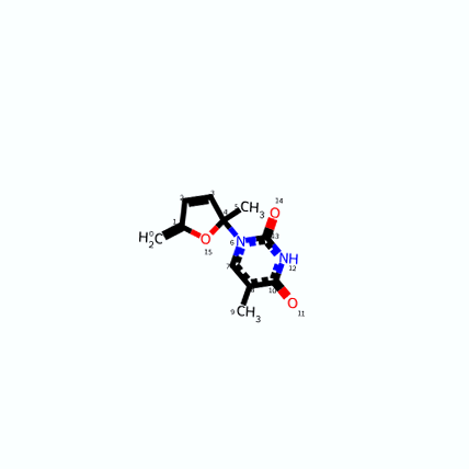 C=C1C=CC(C)(n2cc(C)c(=O)[nH]c2=O)O1